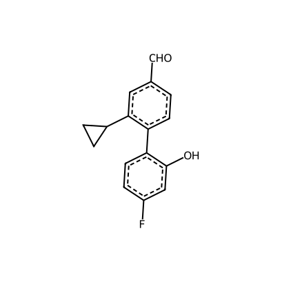 O=Cc1ccc(-c2ccc(F)cc2O)c(C2CC2)c1